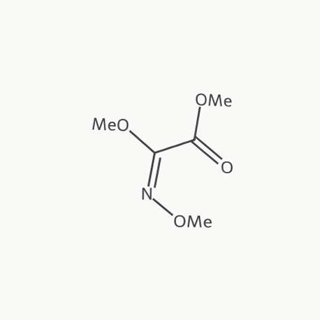 CON=C(OC)C(=O)OC